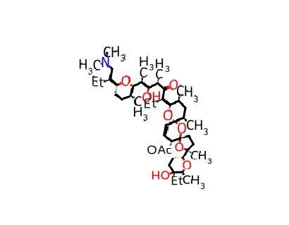 CC[C@@H](CN(C)C)[C@H]1CC[C@H](C)[C@H]([C@@H](C)[C@H](O)[C@H](C)C(=O)[C@H](CC)[C@H]2O[C@]3(C=C[C@@H](OC(C)=O)[C@]4(CC[C@@](C)([C@H]5CC[C@](O)(CC)[C@H](C)O5)O4)O3)[C@H](C)C[C@@H]2C)O1